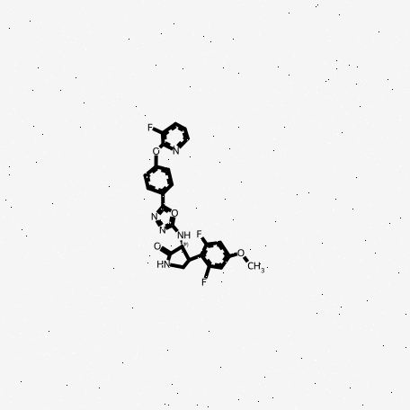 COc1cc(F)c(C2CNC(=O)[C@@H]2Nc2nnc(-c3ccc(Oc4ncccc4F)cc3)o2)c(F)c1